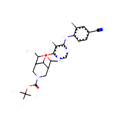 CC1OC(C)C2CN(C(=O)OC(C)(C)C)CC1C2Oc1ncnc(Nc2ccc(C#N)cc2Cl)c1F